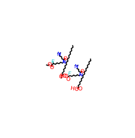 CCCCCCCCCCC(CCCCCCC(=O)O)N(CCCCCC(F)C(=O)O)C(=O)CCCN(C)C.CCCCCCCCCCC(CCCCCCC(=O)OC)N(CCCCCC(F)C(=O)OCC)C(=O)CCCN(C)C